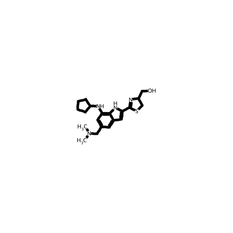 CN(C)Cc1cc(NC2CCCC2)c2[nH]c(C3=NC(CO)CS3)cc2c1